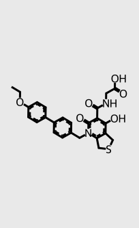 CCOc1ccc(-c2ccc(Cn3c4c(c(O)c(C(=O)NCC(=O)O)c3=O)CSC4)cc2)cc1